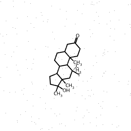 CC12CCC(=O)CC1CCC1C3CCC(C)(O)C3(C)C[C@](C)(I)C12